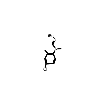 CCC(C)N=CN(C)c1ccc(Cl)cc1C